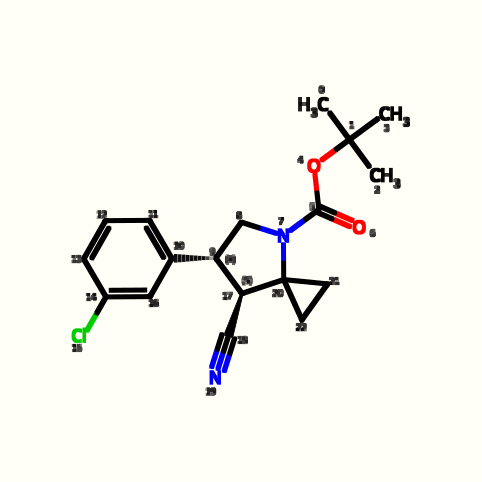 CC(C)(C)OC(=O)N1C[C@@H](c2cccc(Cl)c2)[C@H](C#N)C12CC2